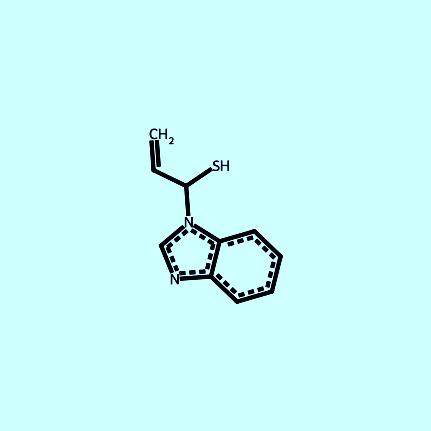 C=CC(S)n1cnc2ccccc21